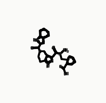 CN(Cc1ccccc1C(=O)O)C(=O)c1n[nH]c2c1CN(C(=O)c1cc3ccccc3[nH]1)CC2